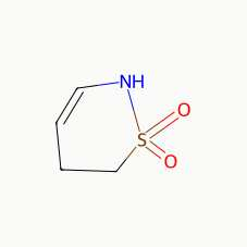 O=S1(=O)CCC=CN1